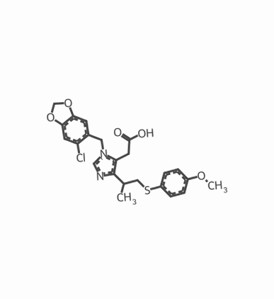 COc1ccc(SCC(C)c2ncn(Cc3cc4c(cc3Cl)OCO4)c2CC(=O)O)cc1